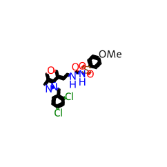 COc1ccc(S(=O)(=O)NC(=O)NC/C=C2\COCc3cnn(Cc4ccc(Cl)cc4Cl)c32)cc1